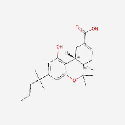 CCCC(C)(C)c1cc(O)c2c(c1)OC(C)(C)[C@@H]1CC=C(C(=O)O)C[C@@H]21